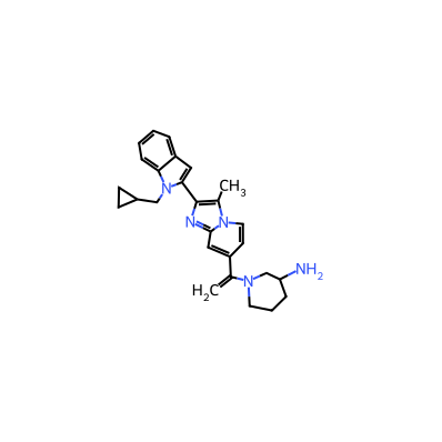 C=C(c1ccn2c(C)c(-c3cc4ccccc4n3CC3CC3)nc2c1)N1CCCC(N)C1